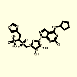 O=P(O)(O)C(Cc1cocn1)S(=O)(=O)C[C@H]1O[C@@H](n2ncc3c(NC4CCCC4)nc(Cl)nc32)[C@H](O)[C@@H]1O